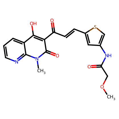 COCC(=O)Nc1csc(/C=C/C(=O)c2c(O)c3cccnc3n(C)c2=O)c1